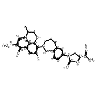 CC1COc2c(N3CCCc4cc(N5C[C@H](C(N)=O)OC5=O)ccc4C3)c(F)cc3c(=O)c(C(=O)O)cn1c23